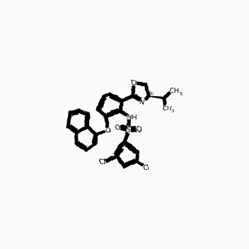 CC(C)[C@@H]1COC(c2cccc(Oc3cccc4ccccc34)c2NS(=O)(=O)c2cc(Cl)cc(Cl)c2)=N1